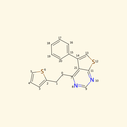 [CH](Cc1cccs1)c1ncnc2scc(-c3ccccc3)c12